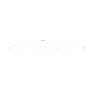 C=C.CCCCCCCCCCCCCCCCCN